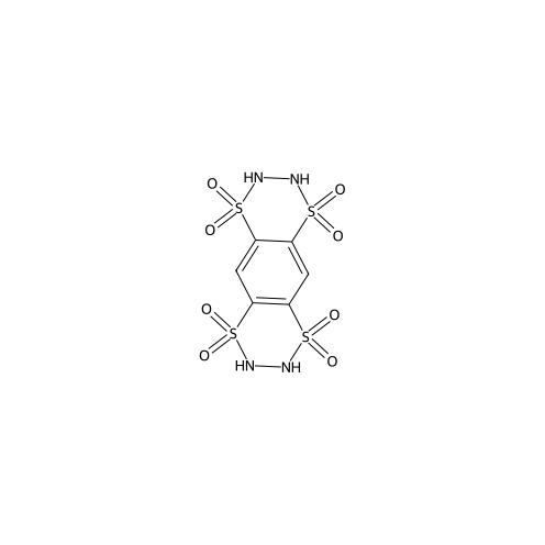 O=S1(=O)NNS(=O)(=O)c2cc3c(cc21)S(=O)(=O)NNS3(=O)=O